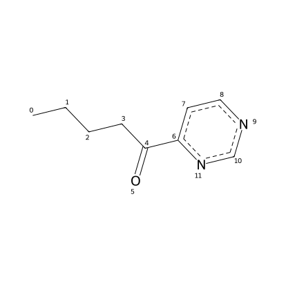 CCCCC(=O)c1ccncn1